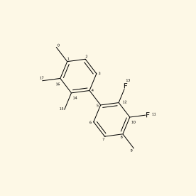 Cc1ccc(-c2ccc(C)c(F)c2F)c(C)c1C